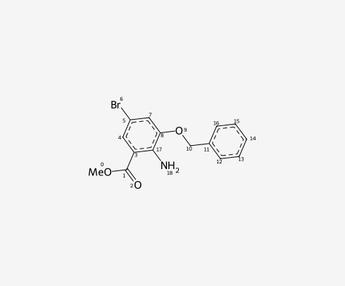 COC(=O)c1cc(Br)cc(OCc2ccccc2)c1N